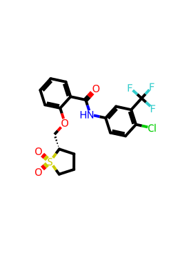 O=C(Nc1ccc(Cl)c(C(F)(F)F)c1)c1ccccc1OC[C@@H]1CCCS1(=O)=O